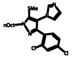 CCCCCCCCn1nc(-c2ccc(Cl)cc2Cl)c(-n2ccnc2)c1SC